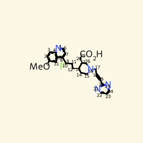 COc1ccc2nccc(C(F)CC[C@@H]3CCN(CC#Cc4ncccn4)C[C@@H]3CC(=O)O)c2c1